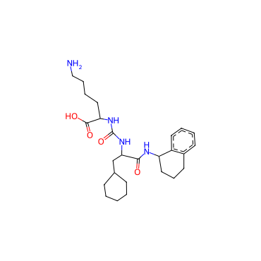 NCCCCC(NC(=O)NC(CC1CCCCC1)C(=O)NC1CCCc2ccccc21)C(=O)O